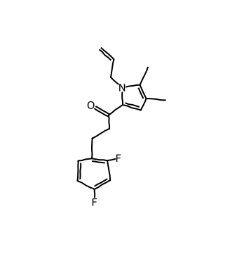 C=CCn1c(C(=O)CCc2ccc(F)cc2F)cc(C)c1C